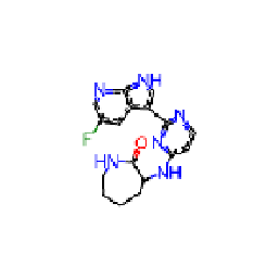 O=C1NCCCCC1Nc1ccnc(-c2c[nH]c3ncc(F)cc23)n1